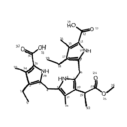 CCc1c(Cc2[nH]c(Cc3[nH]c(C(=O)O)c(C)c3CC)c(C(C)C(=O)OC)c2C)[nH]c(C(=O)O)c1C